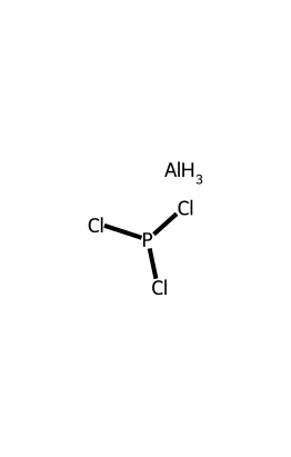 ClP(Cl)Cl.[AlH3]